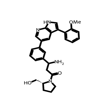 COc1ccccc1-c1c[nH]c2ncc(-c3cccc(C(N)CC(=O)N4CCC[C@@H]4CO)c3)cc12